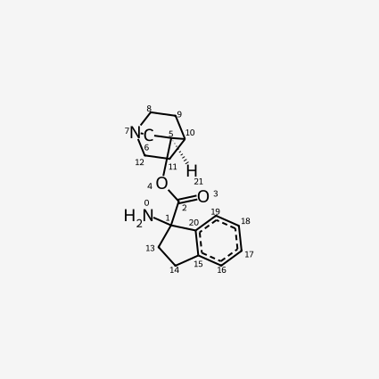 NC1(C(=O)O[C@H]2CN3CCC2CC3)CCc2ccccc21